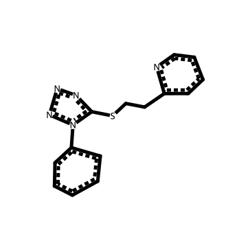 c1ccc(-n2nnnc2SCCc2ccccn2)cc1